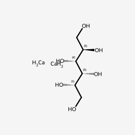 OC[C@@H](O)[C@@H](O)[C@H](O)[C@@H](O)CO.[CaH2].[CaH2]